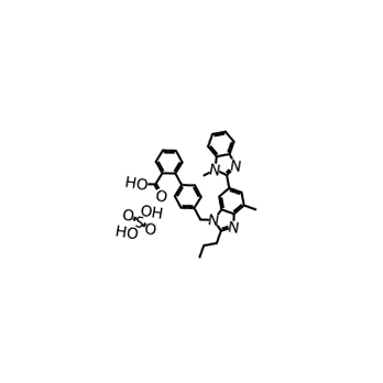 CCCc1nc2c(C)cc(-c3nc4ccccc4n3C)cc2n1Cc1ccc(-c2ccccc2C(=O)O)cc1.O=S(=O)(O)O